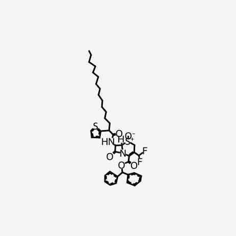 CCCCCCCCCCCCCCC(C(=O)NC1C(=O)N2C(C(=O)OC(c3ccccc3)c3ccccc3)=C(C(F)F)C[S+]([O-])[C@@H]12)c1cccs1